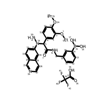 CCOc1cc(C(C(=O)NCc2cccc(B(O)O)c2)N(N)c2ccc3cnccc3c2)ccc1OC(C)C.O=C(O)C(F)(F)F